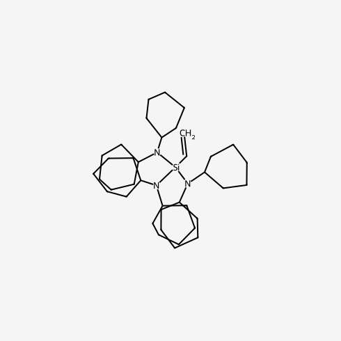 C=C[Si](N(C1CCCCC1)C1CCCCC1)(N(C1CCCCC1)C1CCCCC1)N(C1CCCCC1)C1CCCCC1